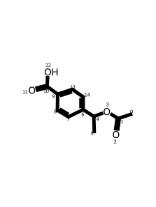 CC(=O)OC(C)c1ccc(C(=O)O)cc1